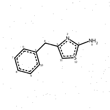 Nc1nc(Cc2ccccc2)cs1